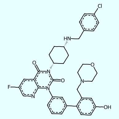 O=c1c2cc(F)cnc2n(-c2cccc(-c3ccc(O)cc3CN3CCOCC3)c2)c(=O)n1[C@H]1CC[C@@H](NCc2ccc(Cl)cc2)CC1